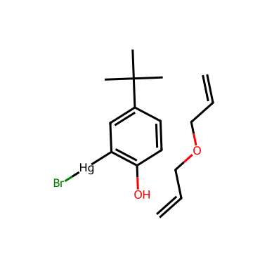 C=CCOCC=C.CC(C)(C)c1ccc(O)[c]([Hg][Br])c1